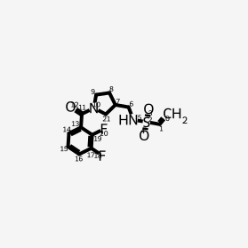 C=CS(=O)(=O)NCC1CCN(C(=O)c2cccc(F)c2F)C1